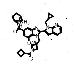 COc1cc(C(=O)N2CC3CCC2[C@@H]3N)cc2nc(-c3cc4cccnc4n3CC3CC3)n(CC3CN(C(=O)C4CCC4)C3)c12